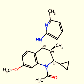 COc1ccc2c(c1)N(C(C)=O)[C@@H](C1CC1)[C@H](C)[C@H]2Nc1cccc(C)n1